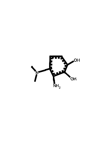 CN(C)c1ccc(O)c(O)c1N